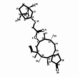 C=C[C@]1(C)C[C@@H](OC(=O)CS[C@@H]2C[C@H]3CC[C@@H](C2)N3C)[C@@H](C)[C@H](C)CC[C@]2(CCC(=O)C2)[C@@H](C)[C@@H]1C